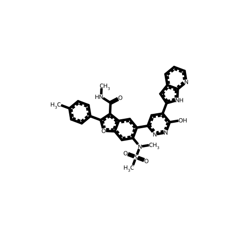 CNC(=O)c1c(-c2ccc(C)cc2)oc2cc(N(C)S(C)(=O)=O)c(-c3cc(-c4cc5cccnc5[nH]4)c(O)nn3)cc12